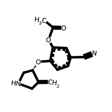 C=C1CNC[C@@H]1Oc1ccc(C#N)cc1OC(C)=O